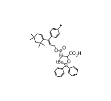 CC(C(O[Si](c1ccccc1)(c1ccccc1)C(C)(C)C)C(=O)O)[PH](=O)OCC=C(C1=CCC(C)(C)CC1(C)C)c1ccc(F)cc1